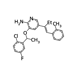 CC/C(=C\c1ccccc1C)c1cnc(N)c(OC(C)c2cc(F)ccc2Cl)c1